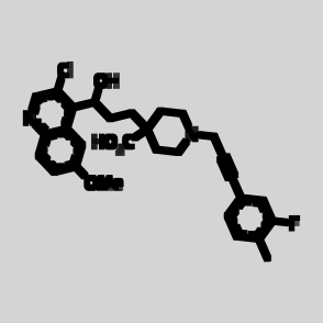 COc1ccc2ncc(Cl)c(C(O)CCC3(C(=O)O)CCN(CC#Cc4ccc(C)c(F)c4)CC3)c2c1